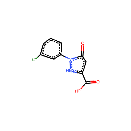 O=C(O)c1cc(=O)n(-c2cccc(Cl)c2)[nH]1